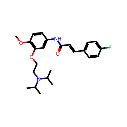 COc1ccc(NC(=O)C=Cc2ccc(F)cc2)cc1OCCN(C(C)C)C(C)C